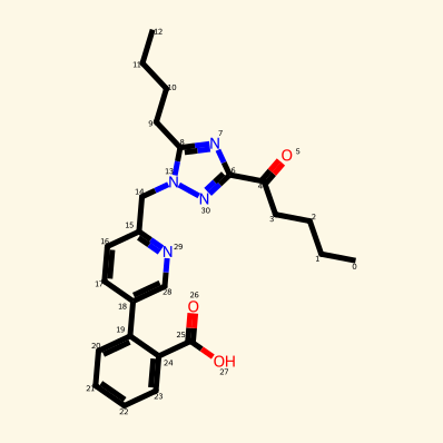 CCCCC(=O)c1nc(CCCC)n(Cc2ccc(-c3ccccc3C(=O)O)cn2)n1